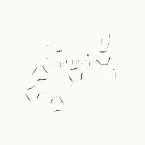 CC(O)C(=O)[C@H](Cc1ccc(-c2ccccc2Oc2ccccc2)cc1)NC(=O)c1cc(Cl)ccc1NS(=O)(=O)c1cc(C(F)(F)F)cc(C(F)(F)F)c1